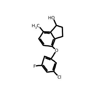 Cc1ccc(Oc2cc(F)cc(Cl)c2)c2c1C(O)CC2